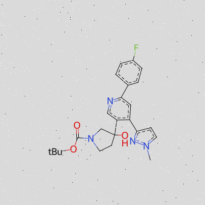 Cn1ccc(-c2cc(-c3ccc(F)cc3)ncc2C2(O)CCN(C(=O)OC(C)(C)C)C2)n1